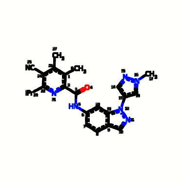 Cc1c(C(=O)Nc2ccc3cnn(-c4cnn(C)c4)c3c2)nc(C(C)C)c(C#N)c1C